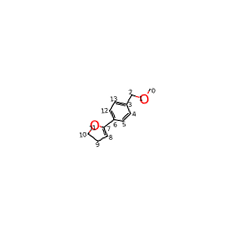 COCc1ccc(C2=CCCO2)cc1